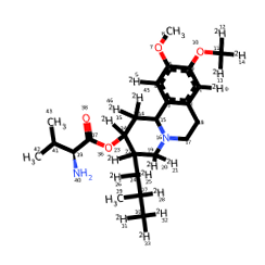 [2H]c1c2c(c([2H])c(OC)c1OC([2H])([2H])[2H])C1N(CC2)C([2H])([2H])C([2H])(C([2H])([2H])C([2H])(C)C([2H])([2H])[2H])C([2H])(OC(=O)[C@@H](N)C(C)C)C1([2H])[2H]